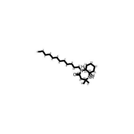 CCCCCCCCCCCCN1C(=O)CC(C)(C)N[C@H]2CCCC[C@H]21